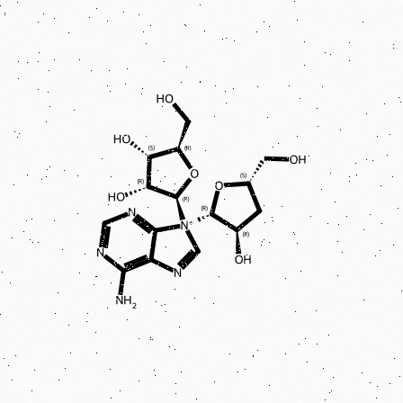 Nc1ncnc2c1N=C[N+]2([C@@H]1O[C@H](CO)[C@@H](O)[C@H]1O)[C@@H]1O[C@H](CO)C[C@H]1O